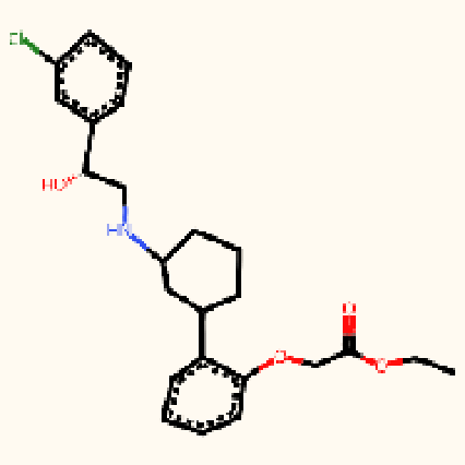 CCOC(=O)COc1ccccc1C1CCCC(NC[C@H](O)c2cccc(Cl)c2)C1